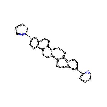 c1ccc(-c2ccc3c(ccc4c3ccc3c5ccc6cc(-c7ccccn7)ccc6c5ccc43)c2)nc1